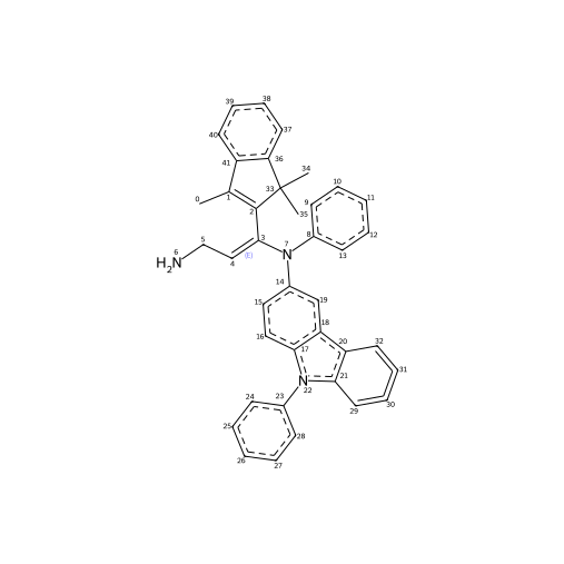 CC1=C(/C(=C\CN)N(c2ccccc2)c2ccc3c(c2)c2c(n3-c3ccccc3)C=C=C=C2)C(C)(C)c2ccccc21